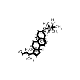 C[C@H](CC=O)C1=CC[C@H]2C3=CC=C4CC(O[Si](C)(C)C(C)(C)C)CC[C@]4(C)[C@H]3CC[C@]12C